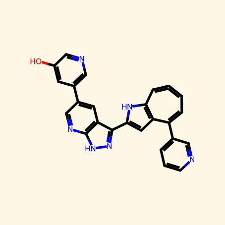 Oc1cncc(-c2cnc3[nH]nc(-c4cc5c([nH]4)C=C=CC=C5c4cccnc4)c3c2)c1